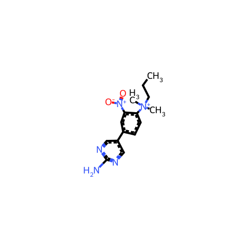 CCC[N+](C)(C)c1ccc(-c2cnc(N)nc2)cc1[N+](=O)[O-]